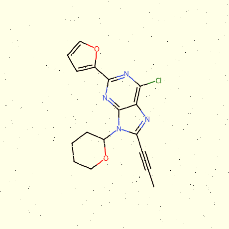 CC#Cc1nc2c(Cl)nc(-c3ccco3)nc2n1C1CCCCO1